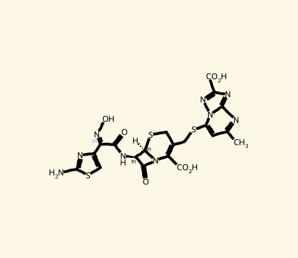 Cc1cc(SCC2=C(C(=O)O)N3C(=O)[C@@H](NC(=O)/C(=N\O)c4csc(N)n4)[C@H]3SC2)n2nc(C(=O)O)nc2n1